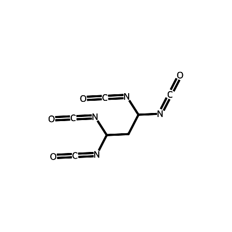 O=C=NC(CC(N=C=O)N=C=O)N=C=O